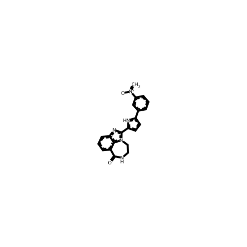 C=[N+]([O-])c1cccc(-c2ccc(-c3nc4cccc5c4n3CCNC5=O)[nH]2)c1